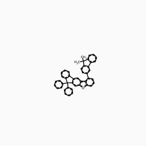 CC1(C)c2ccccc2-c2cc(-c3cccc4oc5cc6c(cc5c34)-c3ccccc3C6(c3ccccc3)c3ccccc3)ccc21